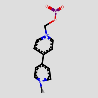 CC[n+]1ccc(-c2cc[n+](COP(=O)=O)cc2)cc1